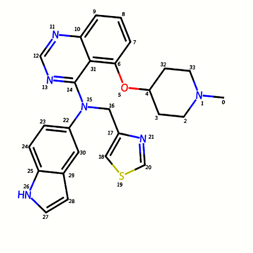 CN1CCC(Oc2cccc3ncnc(N(Cc4cscn4)c4ccc5[nH]ccc5c4)c23)CC1